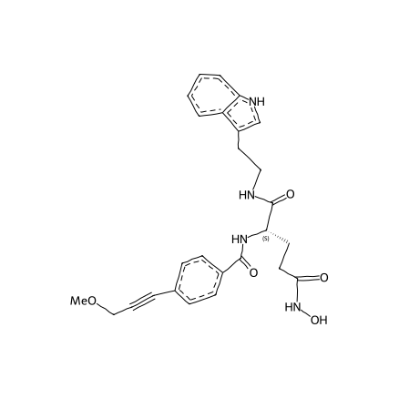 COCC#Cc1ccc(C(=O)N[C@@H](CCC(=O)NO)C(=O)NCCc2c[nH]c3ccccc23)cc1